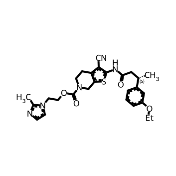 CCOc1cccc([C@@H](C)CC(=O)Nc2sc3c(c2C#N)CCN(C(=O)OCCn2ccnc2C)C3)c1